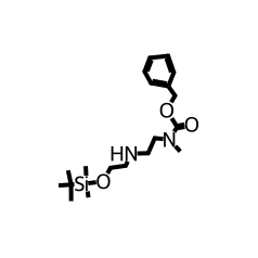 CN(CCNCCO[Si](C)(C)C(C)(C)C)C(=O)OCc1ccccc1